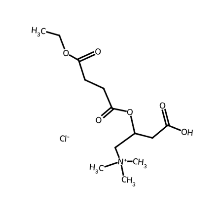 CCOC(=O)CCC(=O)OC(CC(=O)O)C[N+](C)(C)C.[Cl-]